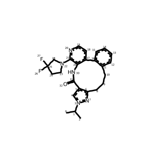 CC(C)n1cc2c(n1)CCCc1ccccc1-c1ccnc(N3CCC(F)(F)C3)c1NC2=O